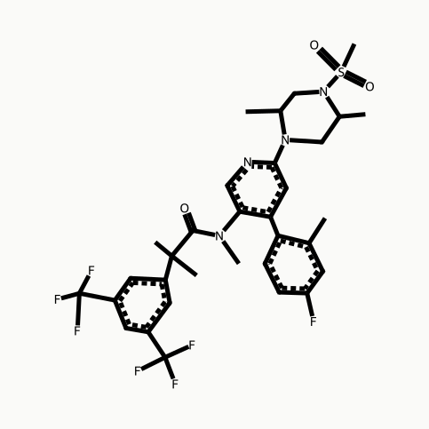 Cc1cc(F)ccc1-c1cc(N2CC(C)N(S(C)(=O)=O)CC2C)ncc1N(C)C(=O)C(C)(C)c1cc(C(F)(F)F)cc(C(F)(F)F)c1